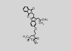 CC(=O)O[C@@H](C)Cn1c(CN2C(=O)c3ccccc3C2=O)nc2ccc(OCCN(CP(C)(C)=O)C(=O)CC(C)C)cc21